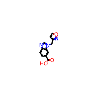 O=C(O)c1ccc2ncn(Cc3ccon3)c2c1